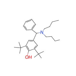 CCCCN(CCCC)C(c1ccccc1)c1cc(C(C)(C)C)c(O)c(C(C)(C)C)c1